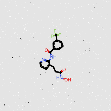 O=C(CCc1cccnc1NC(=O)c1cccc(C(F)(F)F)c1)NO